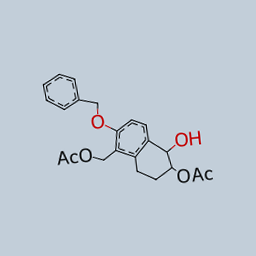 CC(=O)OCc1c(OCc2ccccc2)ccc2c1CCC(OC(C)=O)C2O